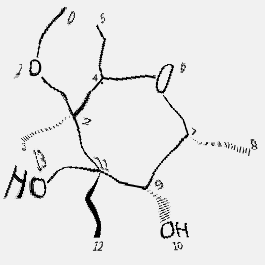 CO[C@@]1(C)[C](C)O[C@H](C)[C@H](O)[C@]1(C)O